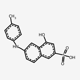 Cc1ccc(Nc2ccc3cc(S(=O)(=O)O)cc(O)c3c2)cc1